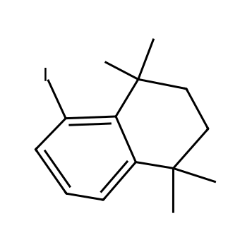 CC1(C)CCC(C)(C)c2c(I)cccc21